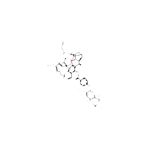 CCCCOC(=O)/C(C)=C\CC12OC(C)(C)C3CC(C=C4C(=O)c5c(OC(=O)c6ccc(O[C@@H]7O[C@@H]8COC(C)(C)O[C@H]8[C@H](O)[C@H]7O)cc6)c6c(c(CC=C(C)C)c5OC431)OC(C)(CCC=C(C)C)C=C6)C2=O